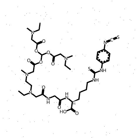 CCN(C)CC(=O)OC(OC(=O)CN(C)CC)OC(=O)CN(C)CCN(CC)CC(=O)NCC(=O)N[C@@H](CCCCNC(=S)Nc1ccc(N=C=S)cc1)C(=O)O